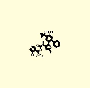 CCOC(=O)C1(c2ccc(-c3ccccc3)c(-c3sc(F)cc3NC(=O)OC(C)c3cscc3C)c2)CC1